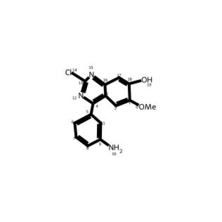 COc1cc2c(-c3cccc(N)c3)nc(Cl)nc2cc1O